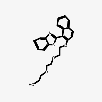 OCCOCCOCCOc1ccc2ccccc2c1-c1nc2ccccc2s1